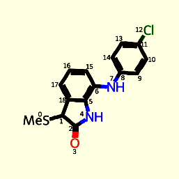 CSC1C(=O)Nc2c(Nc3ccc(Cl)cc3)cccc21